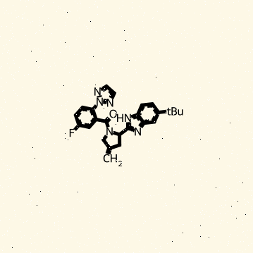 C=C1CC(c2nc3cc(C(C)(C)C)ccc3[nH]2)N(C(=O)c2cc(F)ccc2-n2nccn2)C1